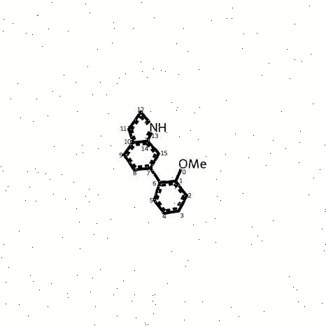 COc1ccccc1-c1ccc2[c]c[nH]c2c1